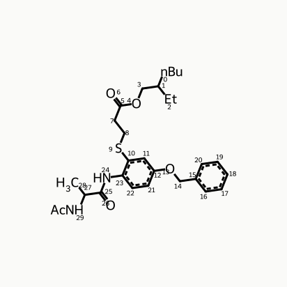 CCCCC(CC)COC(=O)CCSc1cc(OCc2ccccc2)ccc1NC(=O)C(C)NC(C)=O